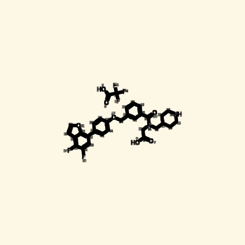 O=C(O)C(F)(F)F.O=C(O)CN(CC1CCNCC1)C(=O)c1cccc(COc2ccc(-c3cc(F)c(F)c4ccoc34)cc2)c1